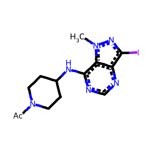 CC(=O)N1CCC(Nc2ncnc3c(I)nn(C)c23)CC1